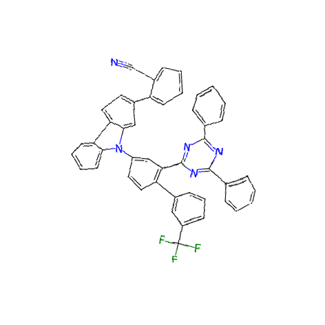 N#Cc1ccccc1-c1ccc2c3ccccc3n(-c3ccc(-c4cccc(C(F)(F)F)c4)c(-c4nc(-c5ccccc5)nc(-c5ccccc5)n4)c3)c2c1